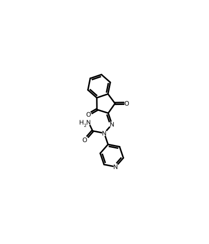 NC(=O)N(N=c1c(=O)c2ccccc2c1=O)c1ccncc1